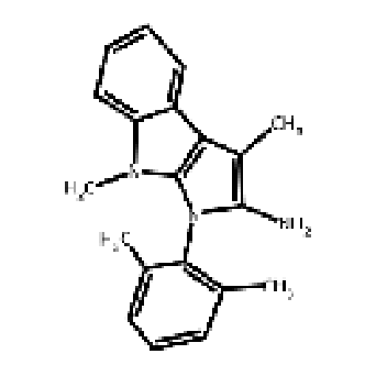 Cc1cccc(C)c1-n1c(N)c(C)c2c3ccccc3n(C)c21